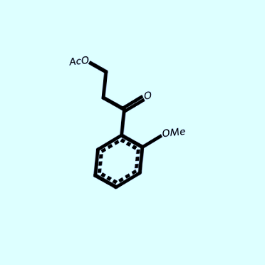 COc1ccccc1C(=O)CCOC(C)=O